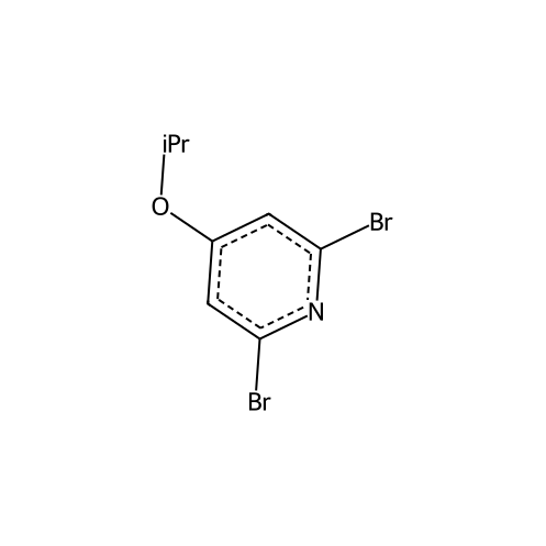 CC(C)Oc1cc(Br)nc(Br)c1